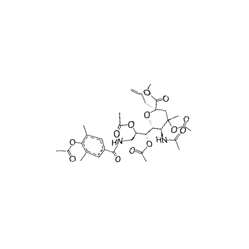 C=CC[C@]1(C(=O)OC)CC(C)(OC(C)=O)[C@@H](NC(C)=O)[C@H]([C@H](OC(C)=O)[C@@H](CNC(=O)c2cc(C)c(OC(C)=O)c(C)c2)OC(C)=O)O1